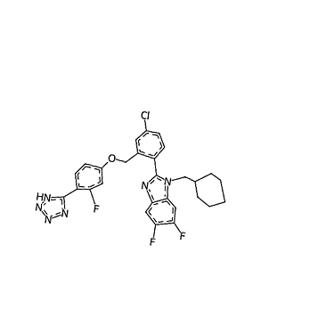 Fc1cc2nc(-c3ccc(Cl)cc3COc3ccc(-c4nnn[nH]4)c(F)c3)n(CC3CCCCC3)c2cc1F